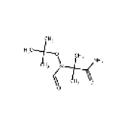 CC(C)(C)ON(C=O)C(C)(C)C(N)=O